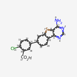 Nc1ncnc2c1sc1cc(-c3ccc(Cl)c(C(=O)O)c3)ccc12